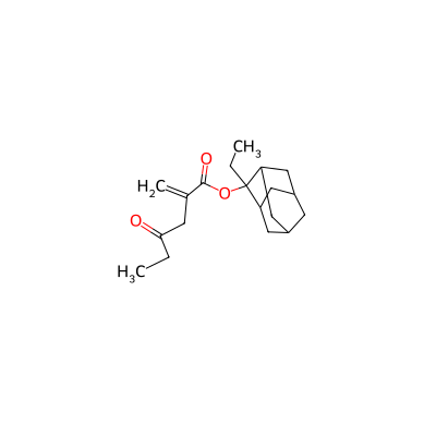 C=C(CC(=O)CC)C(=O)OC1(CC)C2CC3CC(C2)CC1C3